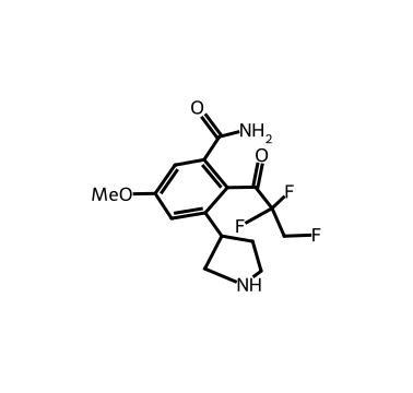 COc1cc(C(N)=O)c(C(=O)C(F)(F)CF)c(C2CCNC2)c1